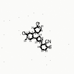 Cn1ccc(-c2cc(=O)n(C)cc2-c2cnn(-c3cccc(F)c3C#N)c2)cc1=O